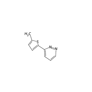 Cc1ccc(-c2cccnn2)s1